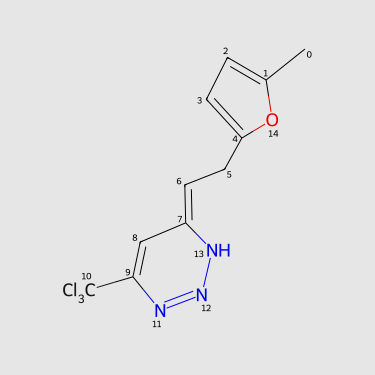 Cc1ccc(CC=C2C=C(C(Cl)(Cl)Cl)N=NN2)o1